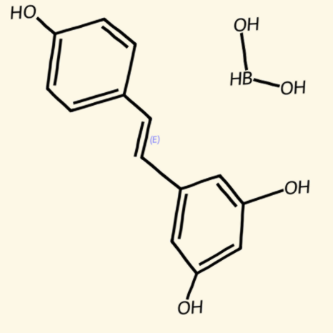 OBO.Oc1ccc(/C=C/c2cc(O)cc(O)c2)cc1